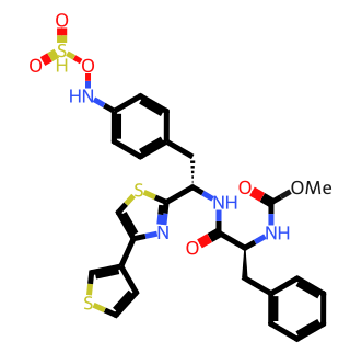 COC(=O)N[C@@H](Cc1ccccc1)C(=O)N[C@@H](Cc1ccc(NO[SH](=O)=O)cc1)c1nc(-c2ccsc2)cs1